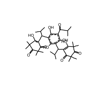 CC(C)C(=O)c1c(O)c(C(C2=C(O)C(C)(C)C(=O)C(C)(C)C2=O)C(C)C)c(O)c(C(C2=C(O)C(C)(C)C(=O)C(C)(C)C2=O)C(C)C)c1O